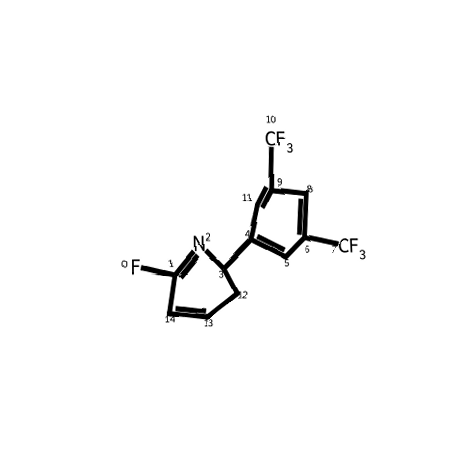 FC1=NC(c2cc(C(F)(F)F)cc(C(F)(F)F)c2)CC=C1